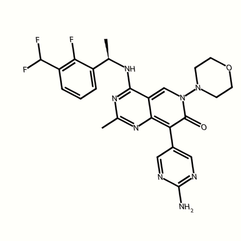 Cc1nc(N[C@H](C)c2cccc(C(F)F)c2F)c2cn(N3CCOCC3)c(=O)c(-c3cnc(N)nc3)c2n1